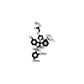 COc1ccc(S(=O)(=O)N2C(=O)C(c3ccccc3OC)(N3C[C@H](OCC(=O)OC(C)(C)C)C[C@H]3C(=O)N(C)C)c3cc(Cl)ccc32)c(OC)c1